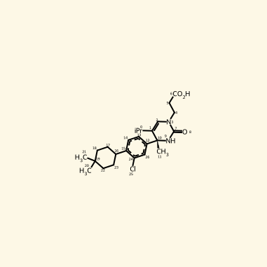 CC(C)C1=CN(CCC(=O)O)C(=O)N[C@]1(C)c1ccc(C2CCC(C)(C)CC2)c(Cl)c1